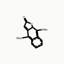 COC1=c2ccccc2=C(OC)C2OC(=O)C=C12